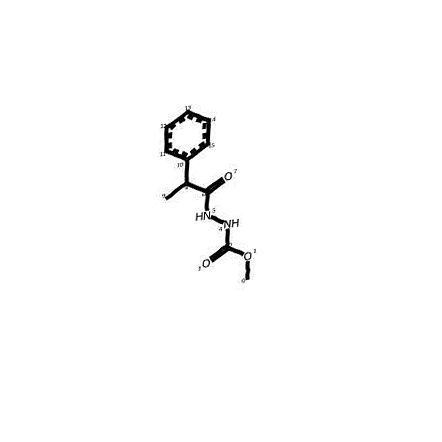 COC(=O)NNC(=O)C(C)c1ccccc1